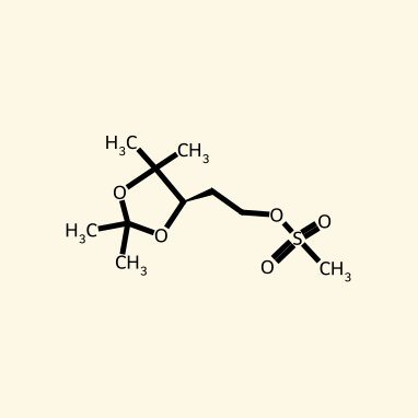 CC1(C)O[C@H](CCOS(C)(=O)=O)C(C)(C)O1